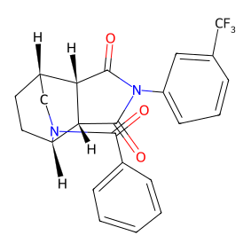 O=C1[C@H]2[C@H]3CC[C@@H]([C@H]2C(=O)N1c1cccc(C(F)(F)F)c1)N(C(=O)c1ccccc1)C3